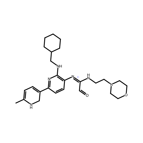 CC1=CC=C(c2ccc(/N=C(\C=O)NCCN3CCOCC3)c(NCC3CCCCC3)n2)CN1